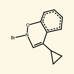 BrN1C=C(C2CC2)c2ccccc2O1